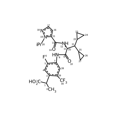 CC(C(=O)O)c1cc(F)c(NC(=O)[C@@H](NC(=O)c2ccnn2C(C)C)C(C2CC2)C2CC2)cc1C(F)(F)F